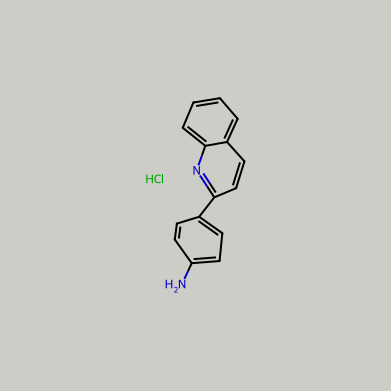 Cl.Nc1ccc(-c2ccc3ccccc3n2)cc1